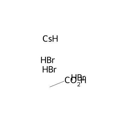 Br.Br.Br.CC(=O)O.[CsH]